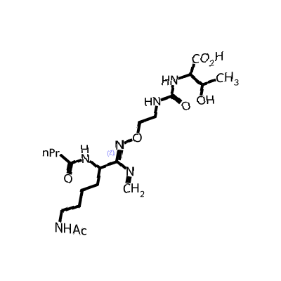 C=N/C(=N\OCCNC(=O)NC(C(=O)O)C(C)O)C(CCCCNC(C)=O)NC(=O)CCC